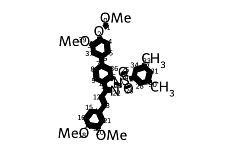 COCOc1ccc(-c2ccc3c(C=Cc4ccc(OC)c(OC)c4)nn(S(=O)(=O)c4cc(C)cc(C)c4)c3c2)cc1OC